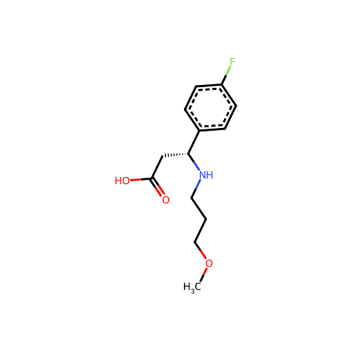 COCCCN[C@H](CC(=O)O)c1ccc(F)cc1